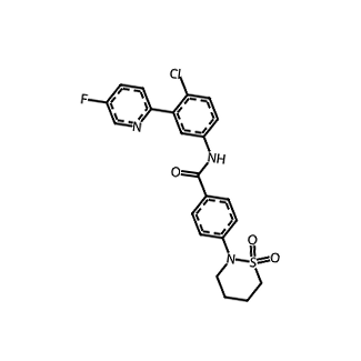 O=C(Nc1ccc(Cl)c(-c2ccc(F)cn2)c1)c1ccc(N2CCCCS2(=O)=O)cc1